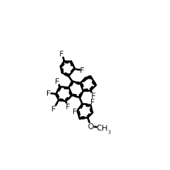 COc1cc(F)c(-c2c3c(F)cccc3c(-c3ccc(F)cc3F)c3c(F)c(F)c(F)c(F)c23)c(F)c1